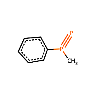 CP(#P)c1ccccc1